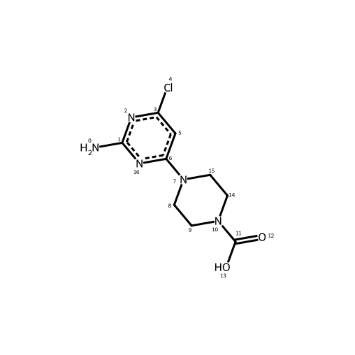 Nc1nc(Cl)cc(N2CCN(C(=O)O)CC2)n1